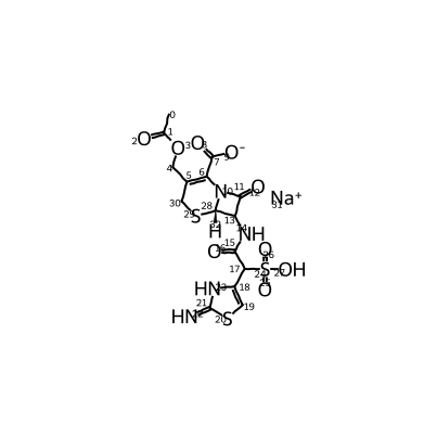 CC(=O)OCC1=C(C(=O)[O-])N2C(=O)C(NC(=O)C(c3csc(=N)[nH]3)S(=O)(=O)O)[C@@H]2SC1.[Na+]